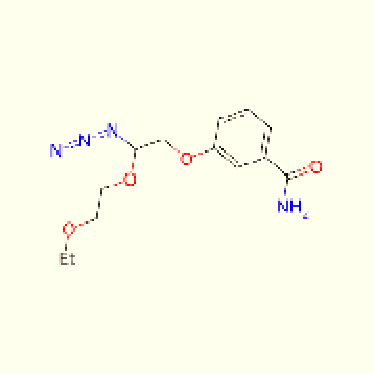 CCOCCOC(COc1cccc(C(N)=O)c1)N=[N+]=[N-]